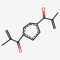 C=C(C)C(=O)c1ccc(C(=O)C(=C)C)cc1